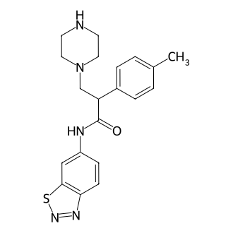 Cc1ccc(C(CN2CCNCC2)C(=O)Nc2ccc3nnsc3c2)cc1